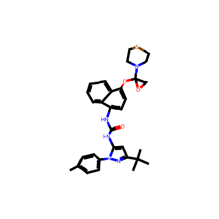 Cc1ccc(-n2nc(C(C)(C)C)cc2NC(=O)Nc2ccc(OC3(N4CCSCC4)CO3)c3ccccc23)cc1